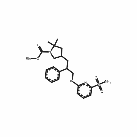 CC(C)(C)OC(=O)N1CC(CC(CNc2cccc(S(N)(=O)=O)n2)c2ccccc2)CC1(C)C